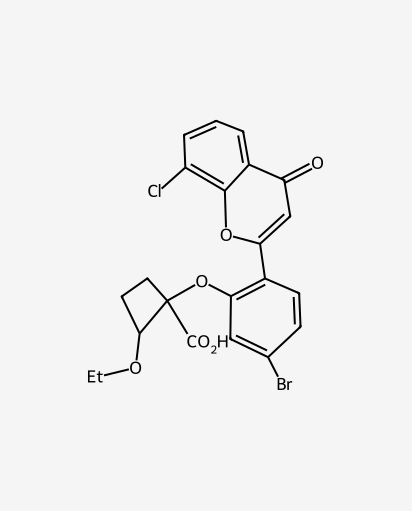 CCOC1CCC1(Oc1cc(Br)ccc1-c1cc(=O)c2cccc(Cl)c2o1)C(=O)O